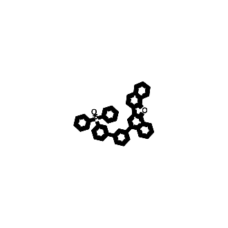 O=P(c1ccccc1)(c1ccccc1)c1cccc(-c2cccc(-c3cc4c5ccc6ccccc6c5oc4c4ccccc34)c2)c1